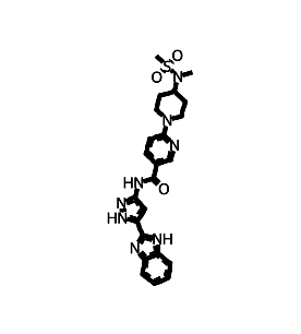 CN(C1CCN(c2ccc(C(=O)Nc3cc(-c4nc5ccccc5[nH]4)[nH]n3)cn2)CC1)S(C)(=O)=O